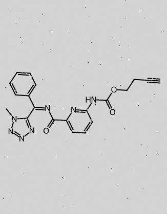 C#CCCOC(=O)Nc1cccc(C(=O)N=C(c2ccccc2)c2nnnn2C)n1